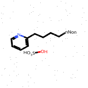 CCCCCCCCCCCCCc1ccccn1.O=S(=O)(O)O